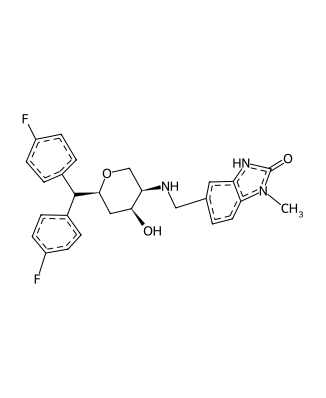 Cn1c(=O)[nH]c2cc(CN[C@@H]3CO[C@H](C(c4ccc(F)cc4)c4ccc(F)cc4)C[C@@H]3O)ccc21